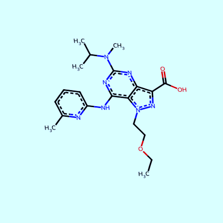 CCOCCn1nc(C(=O)O)c2nc(N(C)C(C)C)nc(Nc3cccc(C)n3)c21